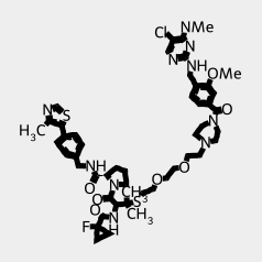 CNc1nc(NCc2ccc(C(=O)N3CCN(CCOCCOCCSC(C)(C)C(NC(=O)C4(F)CC4)C(=O)N4CCC[C@H]4C(=O)NCc4ccc(-c5scnc5C)cc4)CC3)cc2OC)ncc1Cl